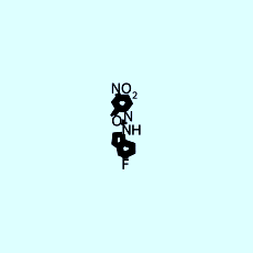 O=[N+]([O-])c1ccc2c(c1)COC(NC1CCc3cc(F)ccc31)=N2